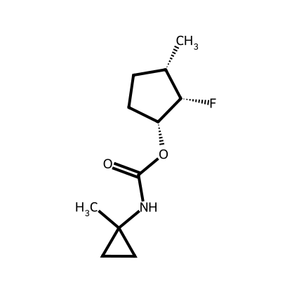 C[C@H]1CC[C@@H](OC(=O)NC2(C)CC2)[C@H]1F